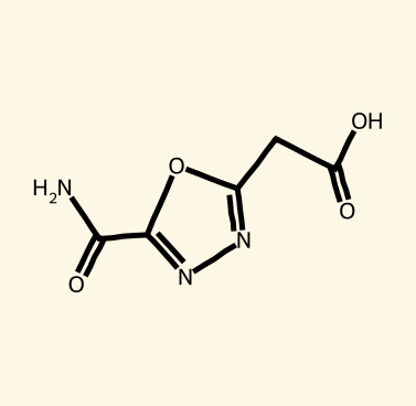 NC(=O)c1nnc(CC(=O)O)o1